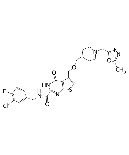 Cc1nnc(CN2CCC(COCc3csc4nc(C(=O)NCc5ccc(F)c(Cl)c5)[nH]c(=O)c34)CC2)o1